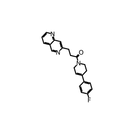 O=C(CCc1cc2ncccc2cn1)N1CC=C(c2ccc(F)cc2)CC1